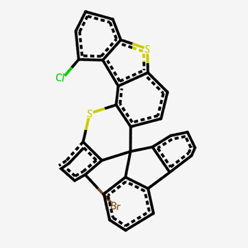 Clc1cccc2sc3ccc4c(c3c12)Sc1cccc(Br)c1C41c2ccccc2-c2ccccc21